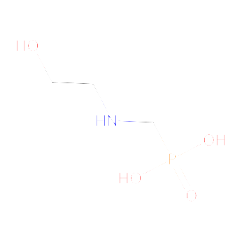 O=P(O)(O)CNCCO